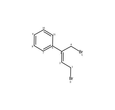 BrCC=C(CBr)c1ccccc1